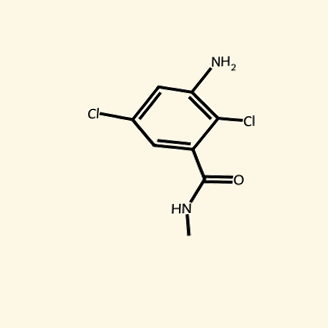 CNC(=O)c1cc(Cl)cc(N)c1Cl